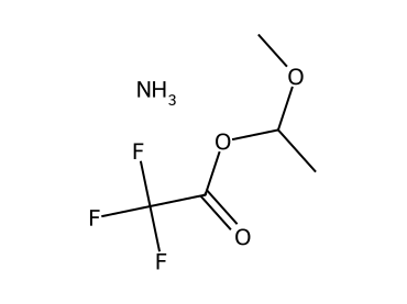 COC(C)OC(=O)C(F)(F)F.N